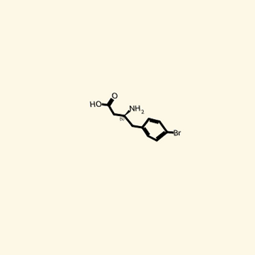 N[C@H](CC(=O)O)Cc1ccc(Br)cc1